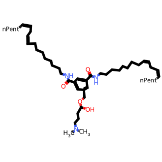 CCCCC/C=C\C/C=C\CCCCCCCCNC(=O)c1cc(COC(O)CCCN(C)C)cc(C(=O)NCCCCCCCC/C=C\C/C=C\CCCCC)c1